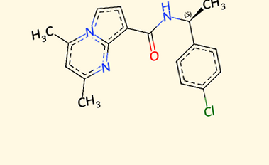 Cc1cc(C)n2ccc(C(=O)N[C@@H](C)c3ccc(Cl)cc3)c2n1